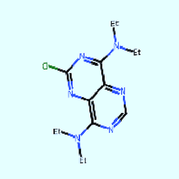 CCN(CC)c1nc(Cl)nc2c(N(CC)CC)ncnc12